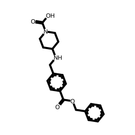 O=C(OCc1ccccc1)c1ccc(CNC2CCN(C(=O)O)CC2)cc1